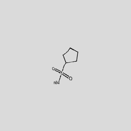 CCCCS(=O)(=O)C1CCCC1